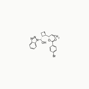 C=C[C@H](OC(=O)c1ccc(Br)cc1)[C@@H]1CC[C@H]1C(O)n1nnc2ccccc21